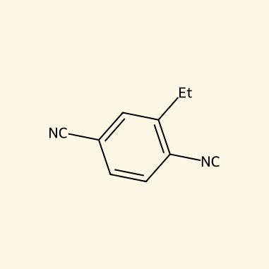 [C-]#[N+]c1ccc(C#N)cc1CC